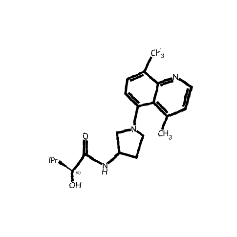 Cc1ccc(N2CCC(NC(=O)[C@@H](O)C(C)C)C2)c2c(C)ccnc12